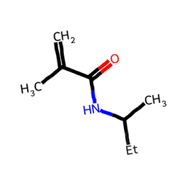 C=C(C)C(=O)NC(C)CC